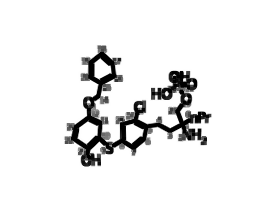 CCCC(N)(CCc1ccc(Sc2cc(OCc3ccccc3)ccc2O)cc1Cl)COP(=O)(O)O